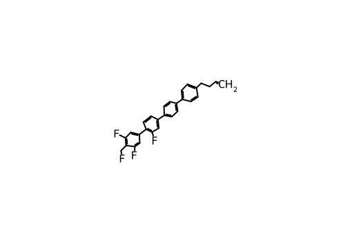 C=CCCc1ccc(-c2ccc(-c3ccc(-c4cc(F)c(CF)c(F)c4)c(F)c3)cc2)cc1